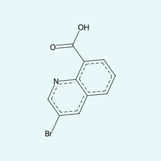 O=C(O)c1cccc2cc(Br)cnc12